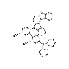 N#Cc1ccc(-n2c3ccccc3c3c4c(ccc32)oc2ccccc24)c(-c2ccc(N3c4ccccc4C4C=CC=CC43)cc2C#N)c1